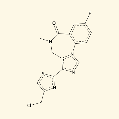 CN1Cc2c(-c3nc(CCl)cs3)ncn2-c2ccc(F)cc2C1=O